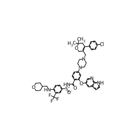 CC1(C)CC(c2ccc(Cl)cc2)=C(CN2CCN(c3ccc(C(=O)N[S+]([O-])c4ccc(NCC5CCOCC5)c(C(F)(F)F)c4)c(Oc4cnc5[nH]ccc5c4)c3)CC2)CO1